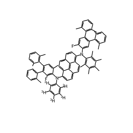 [2H]c1c([2H])c([2H])c(N(c2c(C)cc(-c3c(C)cccc3C)c(-c3ccccc3C)c2F)c2ccc3ccc4c(N(c5cc(-c6c(C)cccc6C)c(-c6c(C)cccc6C)cc5F)c5c(C)c(C)c(C)c(C)c5C)ccc5ccc2c3c54)c([2H])c1[2H]